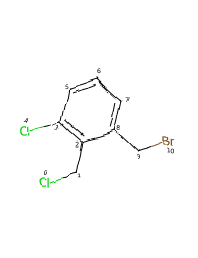 ClCc1c(Cl)cccc1CBr